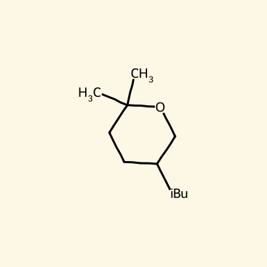 CCC(C)C1CCC(C)(C)OC1